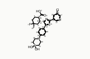 O=C(O)[C@@H]1CCC(F)(F)C[C@H]1c1nc(-c2cncc(Cl)c2)sc1-c1ccc(N2CCS(O)(O)CC2)cc1